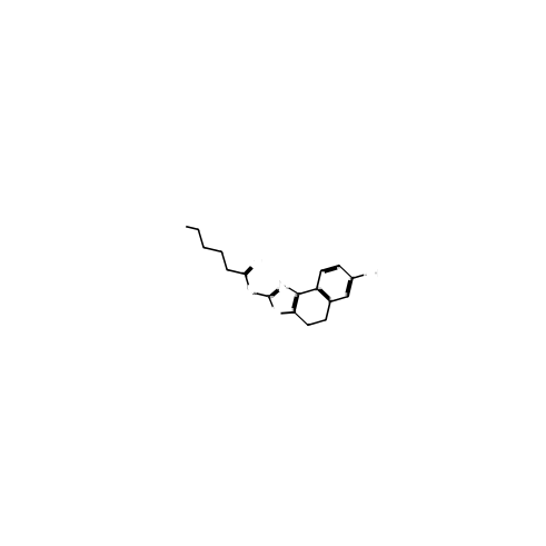 CCCCCC(=O)Nc1nc2c(s1)CCc1cc(O)ccc1-2